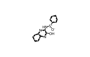 [O-][S+](Nc1nc2ccccc2nc1O)c1ccccc1